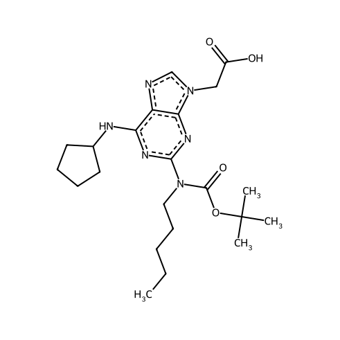 CCCCCN(C(=O)OC(C)(C)C)c1nc(NC2CCCC2)c2ncn(CC(=O)O)c2n1